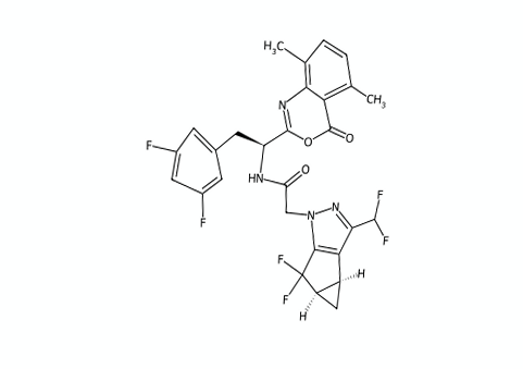 Cc1ccc(C)c2c(=O)oc([C@H](Cc3cc(F)cc(F)c3)NC(=O)Cn3nc(C(F)F)c4c3C(F)(F)[C@@H]3C[C@H]43)nc12